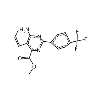 C/C=C\c1c(N)nc(-c2ccc(C(F)(F)F)cc2)nc1C(=O)OC